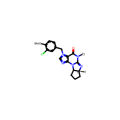 CCN1C(=O)c2c(ncn2Cc2ccc(OC)c(Cl)c2)N2C1=N[C@@H]1CCCC12